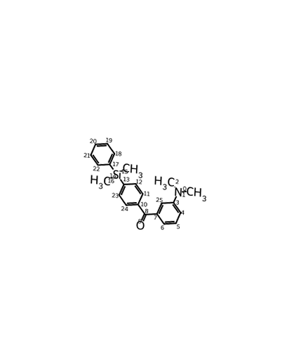 CN(C)c1cccc(C(=O)c2ccc([Si](C)(C)c3ccccc3)cc2)c1